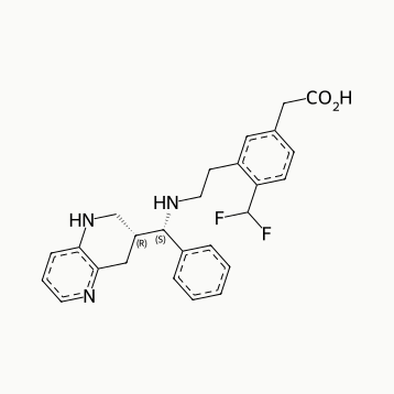 O=C(O)Cc1ccc(C(F)F)c(CCN[C@H](c2ccccc2)[C@H]2CNc3cccnc3C2)c1